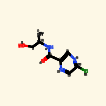 CCC[C@H](CO)NC(=O)c1cnc(Cl)cn1